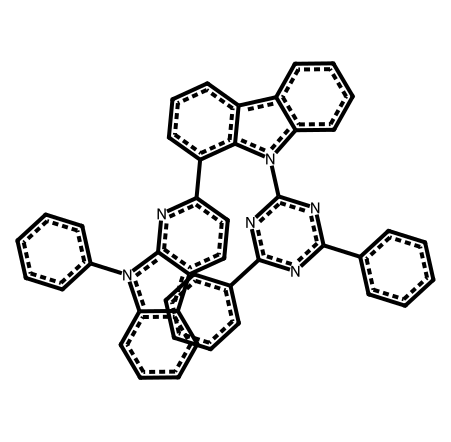 c1ccc(-c2nc(-c3ccccc3)nc(-n3c4ccccc4c4cccc(-c5ccc6c7ccccc7n(-c7ccccc7)c6n5)c43)n2)cc1